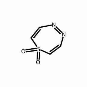 O=S1(=O)C=CN=NC=C1